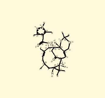 C/C1=C/C[C@H](C)C[C@@H]2[C@H]([C@@H]3C=C4COC(C)(C)O[C@H]4[C@@](O)(CC3=O)[C@H]1OC(=O)c1c(C)nn(C)c1C)C2(C)C